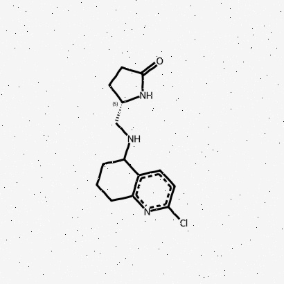 O=C1CC[C@@H](CNC2CCCc3nc(Cl)ccc32)N1